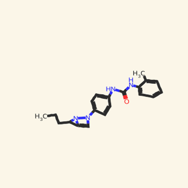 CCCC1c2cn(-c3ccc(NC(=O)Nc4ccccc4C)cc3)n21